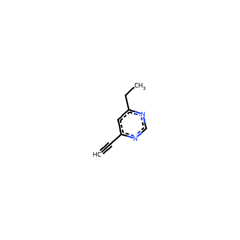 C#Cc1cc(CC)ncn1